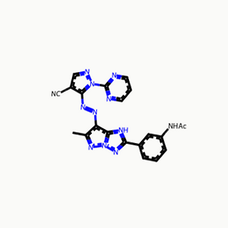 CC(=O)Nc1cccc(-c2nn3nc(C)c(/N=N/c4c(C#N)cnn4-c4ncccn4)c3[nH]2)c1